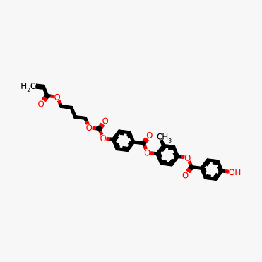 C=CC(=O)OCCCCOC(=O)Oc1ccc(C(=O)Oc2ccc(OC(=O)c3ccc(O)cc3)cc2C)cc1